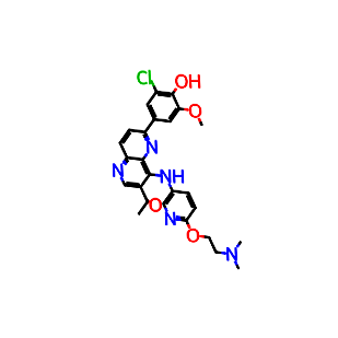 COc1cc(-c2ccc3ncc(C(C)=O)c(Nc4ccc(OCCN(C)C)nc4)c3n2)cc(Cl)c1O